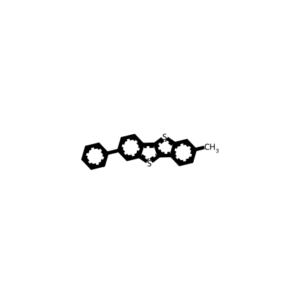 Cc1ccc2c(c1)sc1c3ccc(-c4ccccc4)cc3sc21